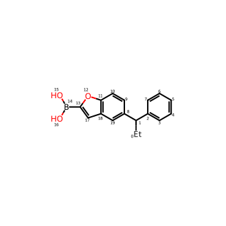 CCC(c1ccccc1)c1ccc2oc(B(O)O)cc2c1